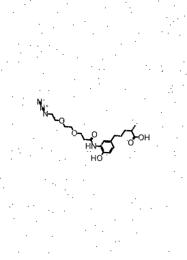 CC(CCCc1ccc(O)c(NC(=O)CCOCCOCCN=[N+]=[N-])c1)C(=O)O